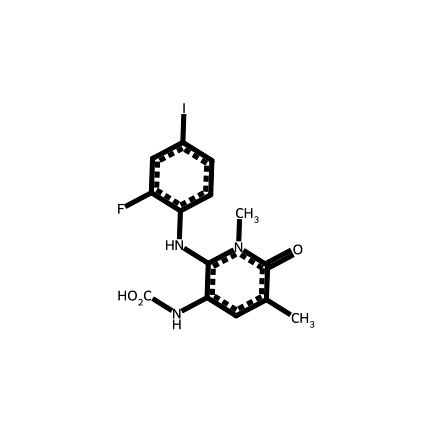 Cc1cc(NC(=O)O)c(Nc2ccc(I)cc2F)n(C)c1=O